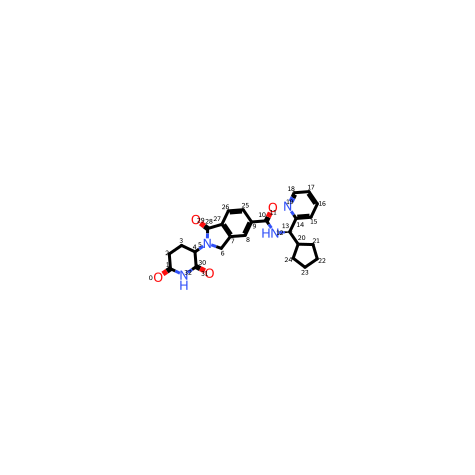 O=C1CCC(N2Cc3cc(C(=O)N[C@@H](c4ccccn4)C4CCCC4)ccc3C2=O)C(=O)N1